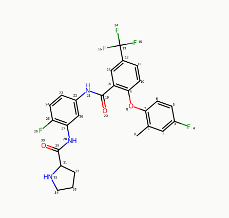 Cc1cc(F)ccc1Oc1ccc(C(F)(F)F)cc1C(=O)Nc1ccc(F)c(NC(=O)C2CCCN2)c1